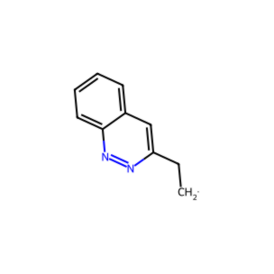 [CH2]Cc1cc2ccccc2nn1